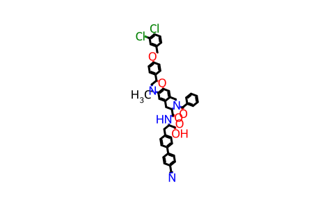 CN1CC(c2ccc(OCc3ccc(Cl)c(Cl)c3)cc2)Oc2cc3c(cc21)CC(C(=O)NC(Cc1ccc(-c2ccc(C#N)cc2)cc1)C(=O)O)N(C(=O)c1ccccc1)C3